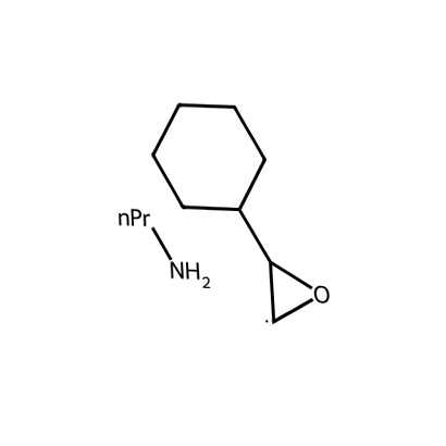 [CH2]CCN.[CH]1OC1C1CCCCC1